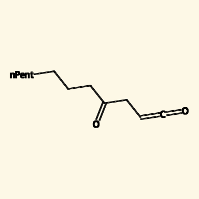 CCCCCCCCC(=O)CC=C=O